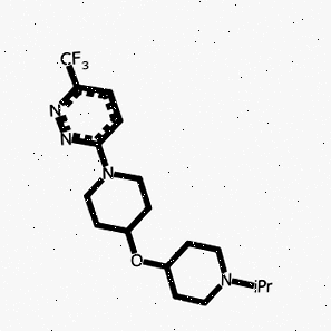 CC(C)N1CCC(OC2CCN(c3ccc(C(F)(F)F)nn3)CC2)CC1